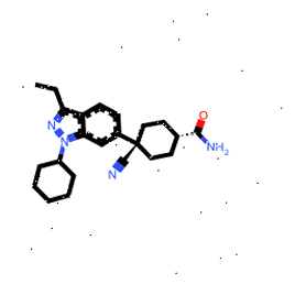 CCc1nn(C2CCCCC2)c2cc([C@]3(C#N)CC[C@H](C(N)=O)CC3)ccc12